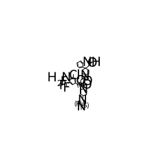 C[C@@H]1CN(C2CCN(C(=O)[C@@H](Cc3cc(Cl)c(N)c(C(F)(F)F)c3)OC(=O)N3CCC4(CC3)CC(=O)Nc3ccccc34)CC2)C[C@H](C)N1C